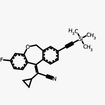 C[Si](C)(C)C#Cc1ccc2c(c1)COc1cc(F)ccc1C2=C(C#N)C1CC1